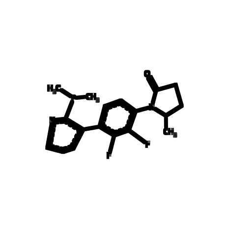 CC1CCC(=O)N1c1ccc(-c2cccnc2P(C)C)c(F)c1F